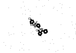 O=C(Nc1ccc(F)c(S(=O)(=O)Nc2ccc(Cl)cc2)c1)c1ccccc1C(=O)c1ccccc1